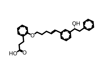 O=C(O)CCc1ccccc1OCCC/C=C/c1cccc([C@H](O)Cc2ccccc2)c1